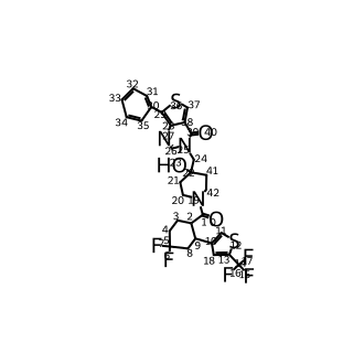 O=C(C1CCC(F)(F)CC1c1csc(C(F)(F)F)c1)N1CCC(O)(Cn2cnc3c(-c4ccccc4)scc3c2=O)CC1